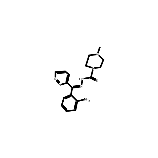 CN1CCN(C(=S)N/N=C(\c2cccnn2)c2ccccc2N)CC1